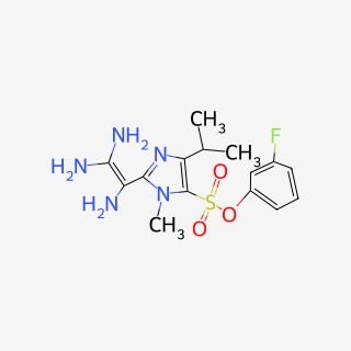 CC(C)c1nc(C(N)=C(N)N)n(C)c1S(=O)(=O)Oc1cccc(F)c1